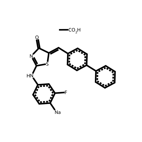 CC(=O)O.O=C1N=C(Nc2cc[c]([Na])c(F)c2)SC1=Cc1ccc(-c2ccccc2)cc1